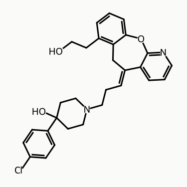 OCCc1cccc2c1CC(=CCCN1CCC(O)(c3ccc(Cl)cc3)CC1)c1cccnc1O2